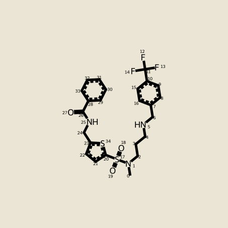 CN(CCCNCc1ccc(C(F)(F)F)cc1)S(=O)(=O)c1ccc(CNC(=O)c2ccccc2)s1